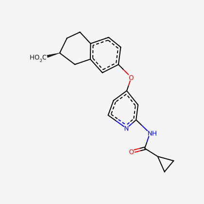 O=C(Nc1cc(Oc2ccc3c(c2)C[C@@H](C(=O)O)CC3)ccn1)C1CC1